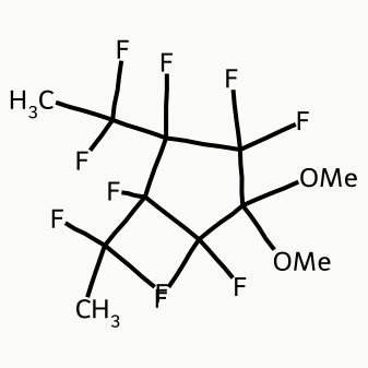 COC1(OC)C(F)(F)C(F)(C(C)(F)F)C(F)(C(C)(F)F)C1(F)F